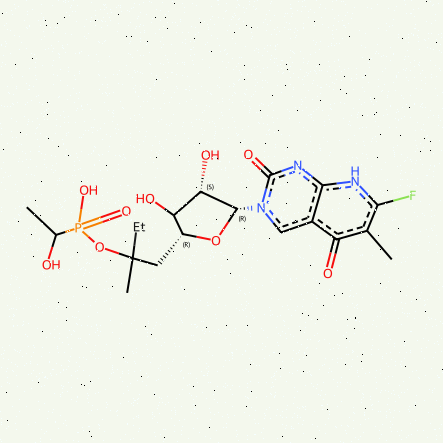 CCC(C)(C[C@H]1O[C@@H](n2cc3c(=O)c(C)c(F)[nH]c3nc2=O)[C@@H](O)C1O)OP(=O)(O)C(C)O